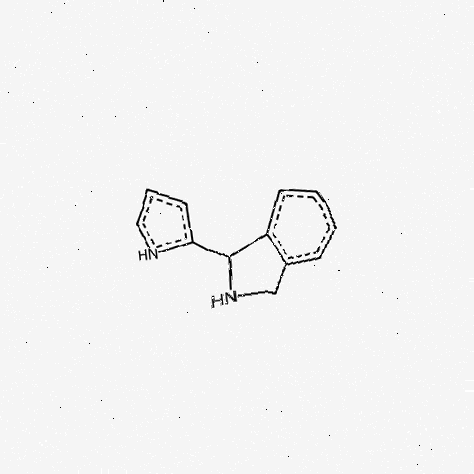 c1c[nH]c(C2NCc3ccccc32)c1